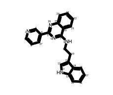 c1cncc(-c2nc(NCCc3c[nH]c4ccccc34)c3ccccc3n2)c1